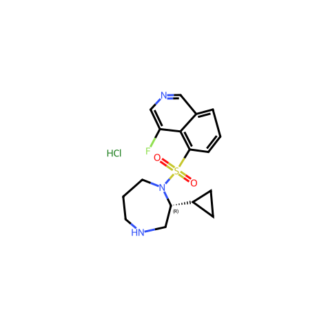 Cl.O=S(=O)(c1cccc2cncc(F)c12)N1CCCNC[C@H]1C1CC1